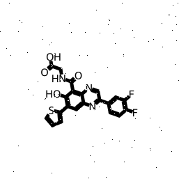 O=C(O)CNC(=O)c1c(O)c(-c2cccs2)cc2nc(-c3ccc(F)c(F)c3)cnc12